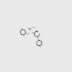 O=C(O)c1ccc(-c2cnc3c(c2)N(Cc2cc(F)ccc2F)C(=O)CN3)cc1